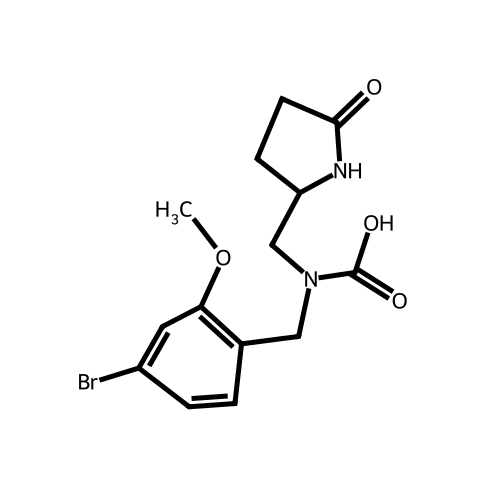 COc1cc(Br)ccc1CN(CC1CCC(=O)N1)C(=O)O